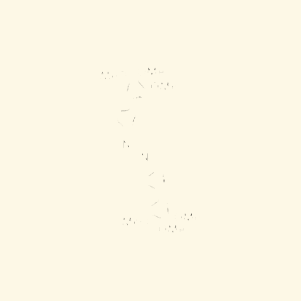 COc1cc(-c2ccc(CN3CCCN(Cc4ccc(-c5cc(OC)c(OC)c(OC)c5)cc4)CC3)cc2)cc(OC)c1OC